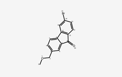 COCc1ccc2c(c1)C(=O)c1ccc(Br)cc1-2